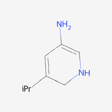 CC(C)C1=CC(N)=CNC1